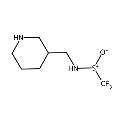 [O-][S+](NCC1CCCNC1)C(F)(F)F